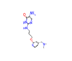 CN(C)Cc1ccnc(OCCCNc2ncc(N)c(=O)[nH]2)c1